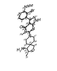 CNc1nccc(-c2n[nH]c3nc(N4CCC5(CC4)CO[C@@H](C)[C@H]5N)n(C)c(=O)c23)c1Br